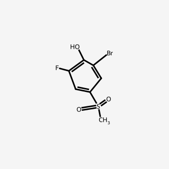 CS(=O)(=O)c1cc(F)c(O)c(Br)c1